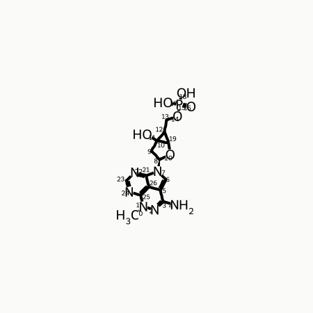 CN1N=C(N)c2cn([C@H]3CC4(O)C(COP(=O)(O)O)C4O3)c3ncnc1c23